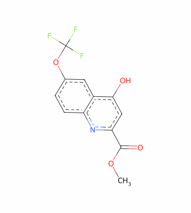 COC(=O)c1cc(O)c2cc(OC(F)(F)F)ccc2n1